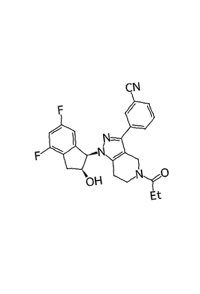 CCC(=O)N1CCc2c(c(-c3cccc(C#N)c3)nn2[C@@H]2c3cc(F)cc(F)c3C[C@@H]2O)C1